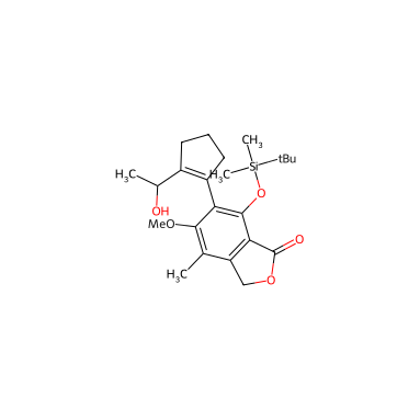 COc1c(C)c2c(c(O[Si](C)(C)C(C)(C)C)c1C1=C(C(C)O)CCC1)C(=O)OC2